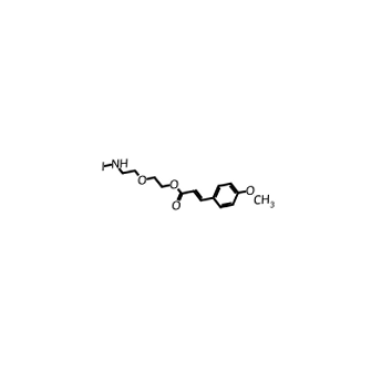 COc1ccc(/C=C/C(=O)OCCOCCNI)cc1